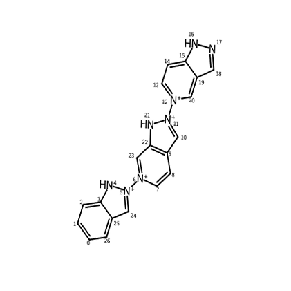 c1ccc2[nH][n+](-[n+]3ccc4c[n+](-[n+]5ccc6[nH]ncc6c5)[nH]c4c3)cc2c1